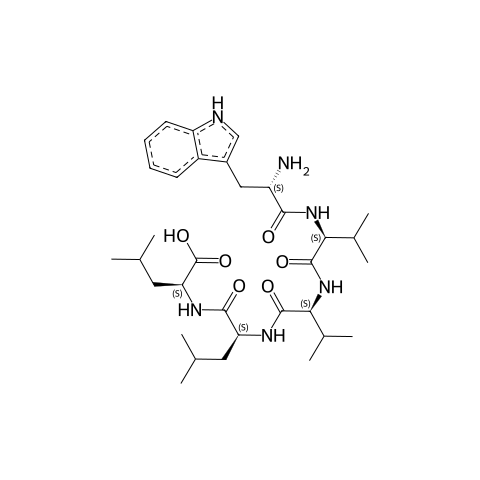 CC(C)C[C@H](NC(=O)[C@H](CC(C)C)NC(=O)[C@@H](NC(=O)[C@@H](NC(=O)[C@@H](N)Cc1c[nH]c2ccccc12)C(C)C)C(C)C)C(=O)O